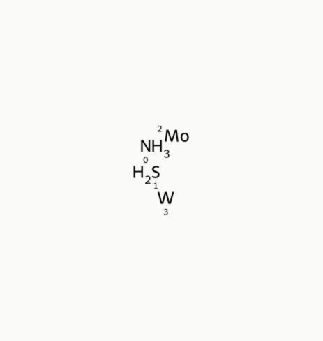 N.S.[Mo].[W]